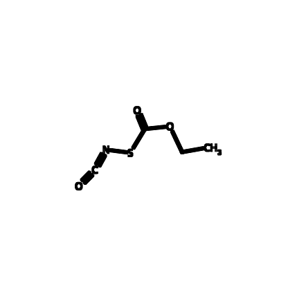 CCOC(=O)SN=C=O